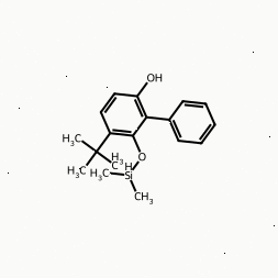 C[SiH](C)Oc1c(C(C)(C)C)ccc(O)c1-c1ccccc1